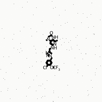 Cc1nc(NCc2cn(Cc3ccc(Cl)c(OC(F)(F)F)c3)nn2)cc2c1NC(=O)CN2C